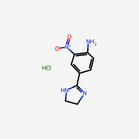 Cl.Nc1ccc(C2=NCCN2)cc1[N+](=O)[O-]